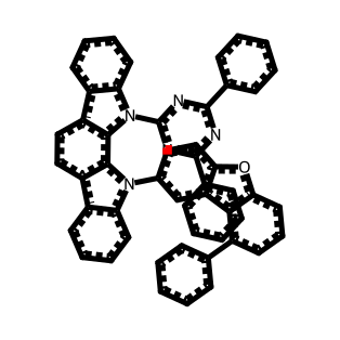 c1ccc(-c2nc(-c3ccccc3)nc(-n3c4ccccc4c4ccc5c6ccccc6n(-c6ccc7oc8cccc(-c9ccccc9)c8c7c6)c5c43)n2)cc1